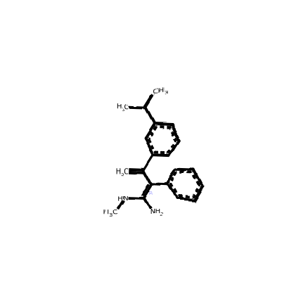 C=C(/C(=C(/N)NC)c1ccccc1)c1cccc(C(C)C)c1